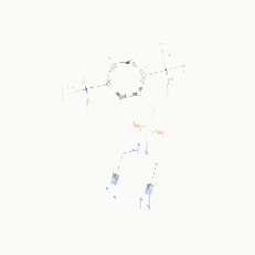 N#CCN(CC#N)S(=O)(=O)Cc1cc(C(F)(F)F)ccc1C(F)(F)F